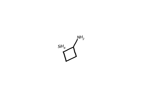 NC1CCC1.[SiH4]